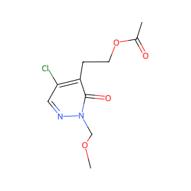 COCn1ncc(Cl)c(CCOC(C)=O)c1=O